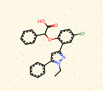 CCn1nc(-c2cc(Cl)ccc2OC(C(=O)O)c2ccccc2)cc1-c1ccccc1